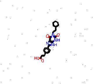 O=C(O)C=Cc1ccc(-c2nc3c(=O)n(CCC4CCCCC4)c(=O)[nH]c3[nH]2)cc1